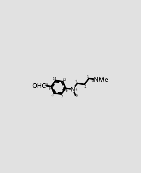 CNCCCN(C)c1ccc(C=O)cc1